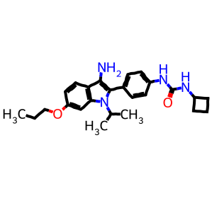 CCCOc1ccc2c(N)c(-c3ccc(NC(=O)NC4CCC4)cc3)n(C(C)C)c2c1